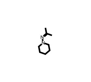 CC(C)=NN1CCCCC1